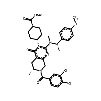 COC(=O)[C@H]1CC[C@H](n2c(N(C)[C@@H](C)c3ccc(OC(F)(F)F)cc3)nc3c(c2=O)C[C@@H](C)N(C(=O)c2ccc(Cl)c(Cl)c2)C3)CC1